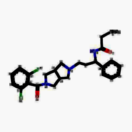 CC(=O)NCC(=O)NC(CCN1CC2CN(C(=O)c3c(F)cccc3Cl)CC2C1)c1ccccc1